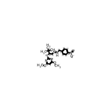 COc1cc(OC)nc(SC(C=NNCc2ccc([N+](=O)[O-])cc2)C(C)(C)C)n1